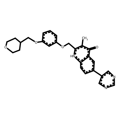 Cc1c(COc2cccc(OCC3CCOCC3)c2)[nH]c2ccc(-c3cncnc3)cc2c1=O